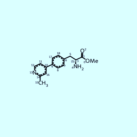 COC(=O)[C@@H](N)Cc1ccc(-c2ccnc(C)c2)cc1